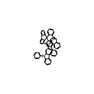 c1ccc(-c2ccc3c(c2)Oc2ccccc2C32c3ccccc3-c3cccc(N(c4ccc5c6ccccc6n(-c6ccccc6)c5c4)c4cccc5ccccc45)c32)cc1